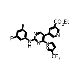 CCOC(=O)c1cncc(-c2cnc(Nc3cc(C)cc(F)c3)nc2-n2ccc(C(F)(F)F)n2)c1